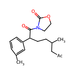 CC(=O)CC(C)CCC(C(=O)N1CCOC1=O)c1cccc(C)c1